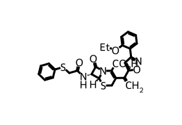 C=C(C1=C(C(=O)O)N2C(=O)[C@@H](NC(=O)CSc3ccccc3)[C@H]2SC1)c1cc(-c2ccccc2OCC)no1